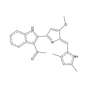 COC1=CC(c2[nH]c3ccccc3c2C(C)=O)=N/C1=C\c1[nH]c(C)cc1C